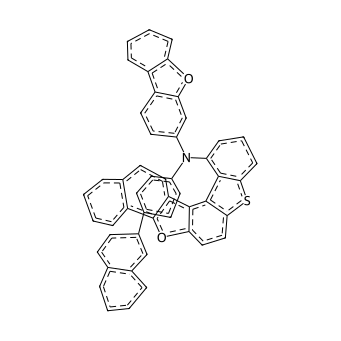 c1ccc2cc(-c3ccc(N(c4ccc5c(c4)oc4ccccc45)c4cccc5sc6ccc7oc8c9ccccc9ccc8c7c6c45)cc3)ccc2c1